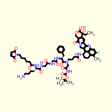 CC[C@@]1(O)C(=O)OCc2c1cc1n(c2=O)Cc2c-1nc1cc(F)c(C)c3c1c2[C@@H](NC(=O)CCCN(CC(=O)NC(=O)OC(C)(C)C)C(=O)[C@H](Cc1ccccc1)NC(=O)CNC(=O)CNC(=O)[C@H](CCCCN)NC(=O)CCCCCN1C(=O)C=CC1=O)CC3